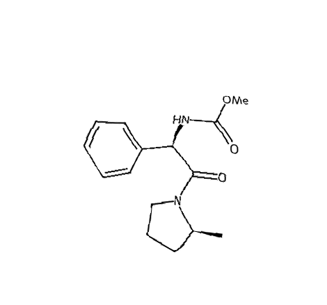 COC(=O)N[C@@H](C(=O)N1CCC[C@@H]1C)c1ccccc1